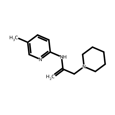 C=C(CN1CCCCC1)Nc1ccc(C)cn1